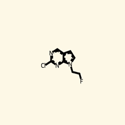 FCCn1ccc2cnc(Cl)nc21